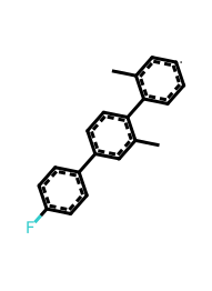 Cc1c[c]ccc1-c1ccc(-c2ccc(F)cc2)cc1C